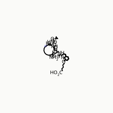 N[C@H]1CCCCC/C=C\[C@@H]2C[C@@]2(C(=O)NS(=O)(=O)C2CC2)NC(=O)[C@@H]2C[C@@H](NC(=O)c3ccc4cccc(OCCCCCC(=O)O)c4n3)CN2C1=O